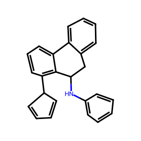 C1=CC(c2cccc3c2C(Nc2ccccc2)Cc2ccccc2-3)C=C1